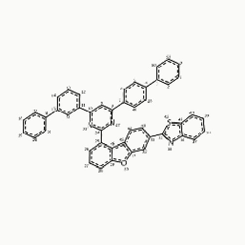 c1ccc(-c2ccc(-c3cc(-c4cccc(-c5ccccc5)c4)nc(-c4cccc5oc6cc(-c7nc8ccccc8s7)ccc6c45)n3)cc2)cc1